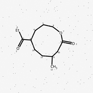 CCC(=O)C1CCCOC(=O)CC(C)CC1